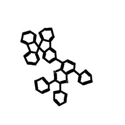 c1ccc(-c2nc3c(-c4ccccc4)ccc(-c4ccc5c(c4)-c4ccccc4C54c5ccccc5-c5ccccc54)c3nc2-c2ccccc2)cc1